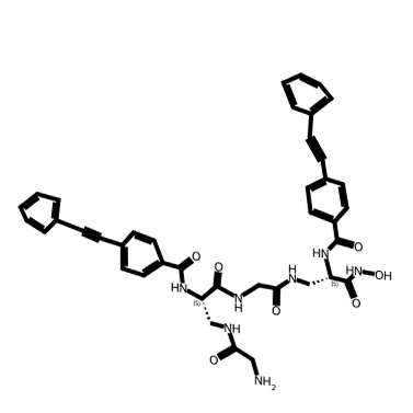 NCC(=O)NC[C@H](NC(=O)c1ccc(C#Cc2ccccc2)cc1)C(=O)NCC(=O)NC[C@H](NC(=O)c1ccc(C#Cc2ccccc2)cc1)C(=O)NO